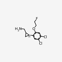 NCC1C[C@@H]1c1cc(Cl)c(Cl)cc1OCCF